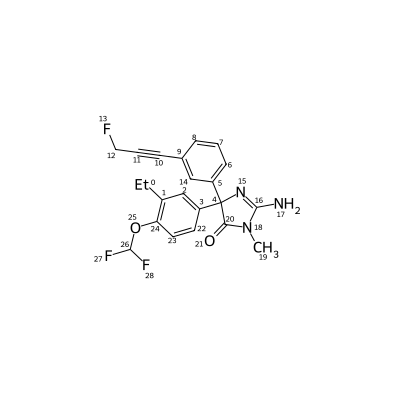 CCc1cc(C2(c3cccc(C#CCF)c3)N=C(N)N(C)C2=O)ccc1OC(F)F